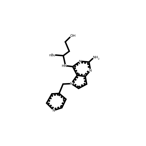 CCCCC(CCO)Nc1nc(N)nc2ccn(Cc3ccncc3)c12